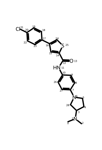 CN(C)C1CCN(c2ccc(NC(=O)c3cc(-c4ccc(Cl)cc4)cs3)cc2)C1